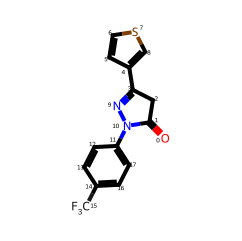 O=C1CC(c2ccsc2)=NN1c1ccc(C(F)(F)F)cc1